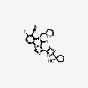 N#Cc1c(F)ccc2c1n(CC1CCCO1)c(=O)c1c(-c3noc(C4(O)CCCC4)n3)ncn12